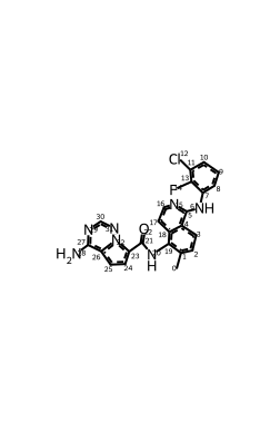 Cc1ccc2c(Nc3cccc(Cl)c3F)nccc2c1NC(=O)c1ccc2c(N)ncnn12